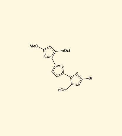 CCCCCCCCc1cc(Br)sc1-c1ccc(-c2sc(OC)cc2CCCCCCCC)s1